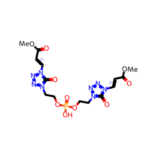 COC(=O)/C=C/n1nnn(CCOP(=O)(O)OCCn2nnn(/C=C/C(=O)OC)c2=O)c1=O